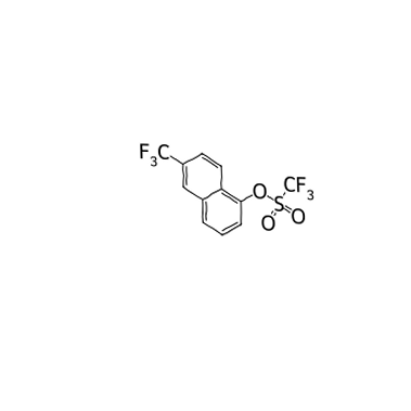 O=S(=O)(Oc1cccc2cc(C(F)(F)F)ccc12)C(F)(F)F